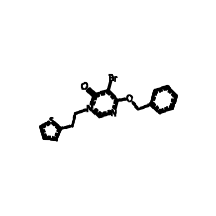 O=c1c(Br)c(OCc2ccccc2)ncn1CCc1cccs1